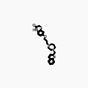 O=C1CSc2cc(OCCCN3CCCN(Cc4ccc5ccccc5n4)CC3)ccc2N1